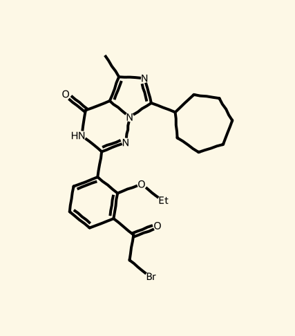 CCOc1c(C(=O)CBr)cccc1-c1nn2c(C3CCCCCC3)nc(C)c2c(=O)[nH]1